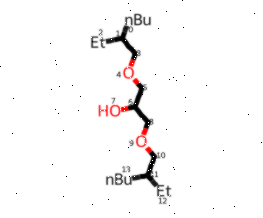 CCCCC(CC)COCC(O)COCC(CC)CCCC